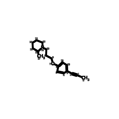 CC#Cc1ccc(OCCCN2CCCCC2C)cc1